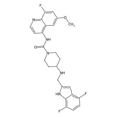 COc1cc(F)c2nccc(NC(=O)N3CCC(NCc4cc5c(F)ccc(F)c5[nH]4)CC3)c2c1